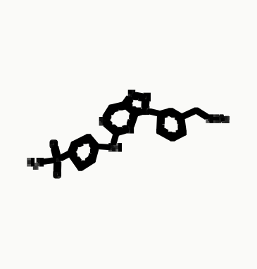 CC(=O)NCc1cccc(-n2nnc3cnc(Nc4ccc(S(N)(=O)=O)cc4)nc32)c1